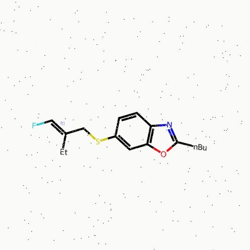 CCCCc1nc2ccc(SC/C(=C/F)CC)cc2o1